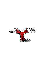 CCOCCOCCOCCOCC1(CCOCCOCCOCCOC)c2cc(C)cc3c2N2c4c(cc(C)cc4C(CCOCCOCCOCCOC)(CCOCCOCCOCCOC)c4cc(C)cc1c42)C3(CCOCCOCCOCCOC)CCOCCOCCOCCOC